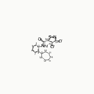 O=C(Nc1ccccc1C1CCCCCC1)c1snc(Cl)c1Cl